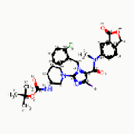 CN(C(=O)c1c(I)nc(N2CCC[C@@H](NC(=O)OC(C)(C)C)C2)n1Cc1ccccc1Cl)c1ccc2c(c1)C(=O)OC2